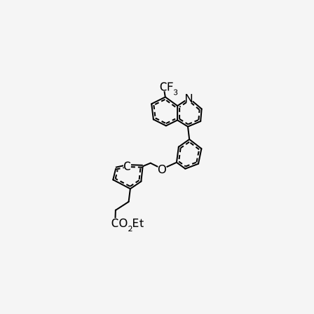 CCOC(=O)CCc1cccc(COc2cccc(-c3ccnc4c(C(F)(F)F)cccc34)c2)c1